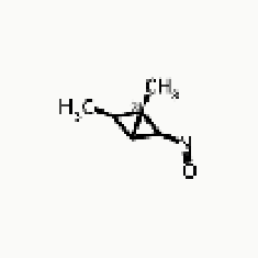 CC1C2C(N=O)[C@@]12C